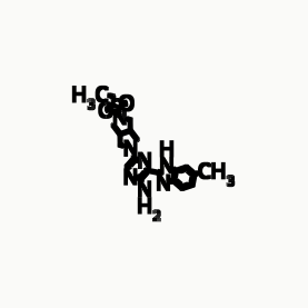 CCS(=O)(=O)N1CC2CN(c3cnc(N)c(-c4nc5ccc(C)cc5[nH]4)n3)CC2C1